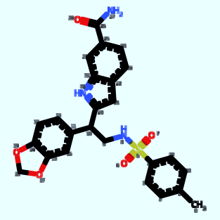 Cc1ccc(S(=O)(=O)NCC(c2ccc3c(c2)OCO3)c2cc3ccc(C(N)=O)cc3[nH]2)cc1